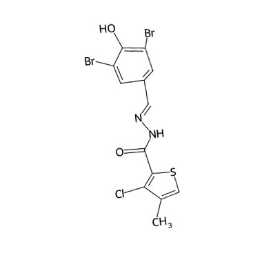 Cc1csc(C(=O)NN=Cc2cc(Br)c(O)c(Br)c2)c1Cl